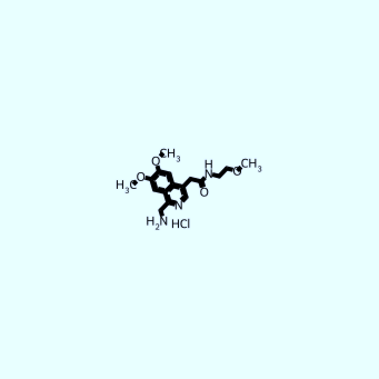 COCCNC(=O)Cc1cnc(CN)c2cc(OC)c(OC)cc12.Cl